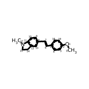 COc1ccc(C=Cc2ccc3c(c2)CCN3C)cc1